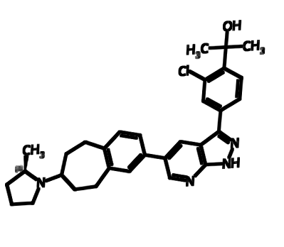 C[C@@H]1CCCN1C1CCc2ccc(-c3cnc4[nH]nc(-c5ccc(C(C)(C)O)c(Cl)c5)c4c3)cc2CC1